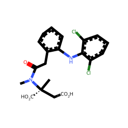 CN(C(=O)Cc1ccccc1Nc1c(Cl)cccc1Cl)[C@@](C)(CC(=O)O)C(=O)O